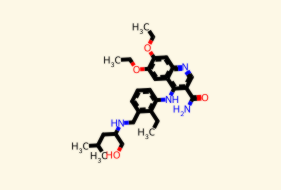 CCOc1cc2ncc(C(N)=O)c(Nc3cccc(CNC(CO)CC(C)C)c3CC)c2cc1OCC